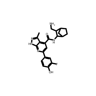 Cc1n[nH]c2nc(-c3ccc(O)c(F)c3)cc(C(=O)NC3C4CCC(C4)C3CN)c12